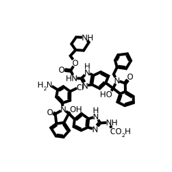 Nc1cc(Cl)cc(N2C(=O)c3ccccc3C2(O)c2ccc3nc(NC(=O)O)[nH]c3c2)c1.O=C(Nc1nc2cc(C3(O)c4ccccc4C(=O)N3Cc3ccccc3)ccc2[nH]1)OCC1CCNCC1